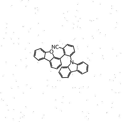 N#Cc1cccc(-n2c3ccccc3c3ccccc32)c1-c1cccc2c1oc1ccccc12